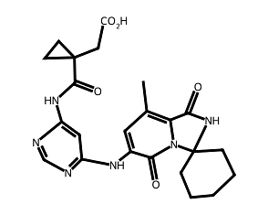 Cc1cc(Nc2cc(NC(=O)C3(CC(=O)O)CC3)ncn2)c(=O)n2c1C(=O)NC21CCCCC1